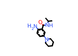 CC(C)NC(=O)c1cc(N2CCCCC2)ccc1N